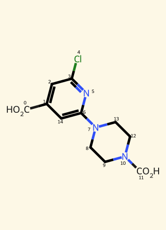 O=C(O)c1cc(Cl)nc(N2CCN(C(=O)O)CC2)c1